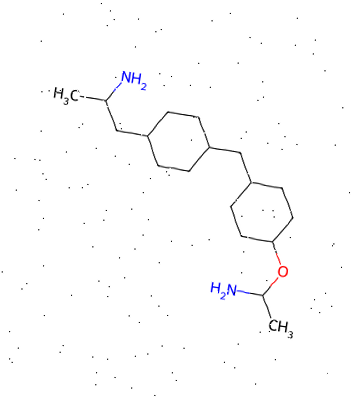 CC(N)CC1CCC(CC2CCC(OC(C)N)CC2)CC1